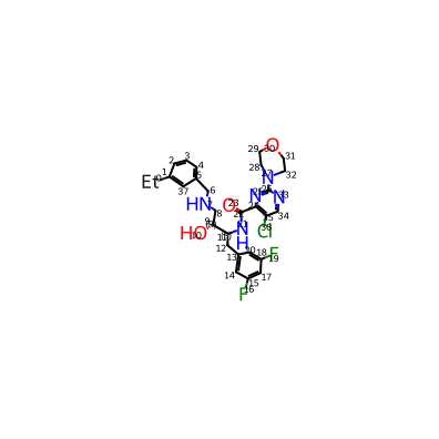 CCc1cccc(CNC[C@@H](O)[C@H](Cc2cc(F)cc(F)c2)NC(=O)c2nc(N3CCOCC3)ncc2Cl)c1